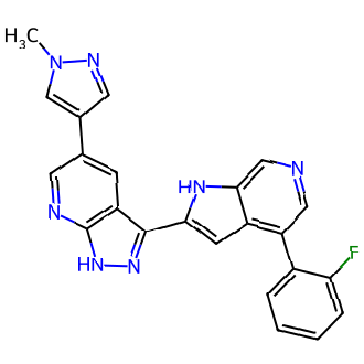 Cn1cc(-c2cnc3[nH]nc(-c4cc5c(-c6ccccc6F)cncc5[nH]4)c3c2)cn1